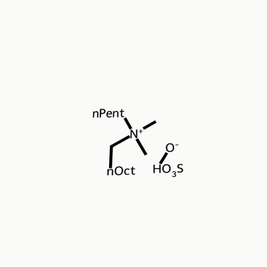 CCCCCCCCC[N+](C)(C)CCCCC.O=S(=O)([O-])O